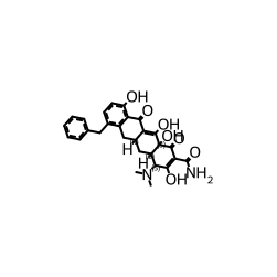 CN(C)[C@@H]1C(O)=C(C(N)=O)C(=O)[C@@]2(O)C(O)=C3C(=O)c4c(O)ccc(Cc5ccccc5)c4C[C@H]3C[C@@H]12